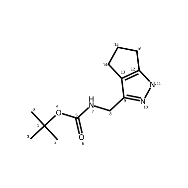 CC(C)(C)OC(=O)NCC1=N[N]C2=C1CCC2